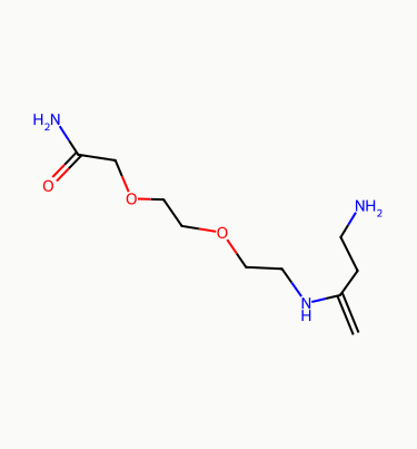 C=C(CCN)NCCOCCOCC(N)=O